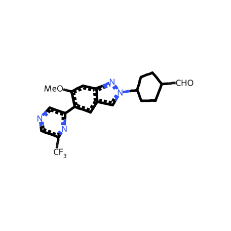 COc1cc2nn(C3CCC(C=O)CC3)cc2cc1-c1cncc(C(F)(F)F)n1